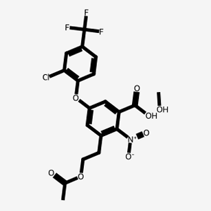 CC(=O)OCCc1cc(Oc2ccc(C(F)(F)F)cc2Cl)cc(C(=O)O)c1[N+](=O)[O-].CO